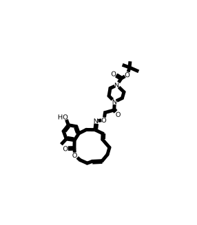 Cc1cc(O)cc2c1C(=O)OCC/C=C/CC/C=C/C(=N\OCC(=O)N1CCN(C(=O)OC(C)(C)C)CC1)C2